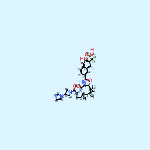 O=C(N[C@H]1C[C@H]2C[C@H]2C[C@H]2CC[C@@H](C(=O)N3CC(n4ccnc4)C3)N2C1=O)c1ccc2ccc(C(F)(F)P(=O)(O)O)cc2c1